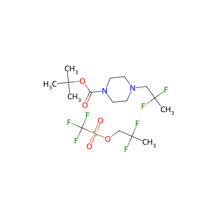 CC(F)(F)CN1CCN(C(=O)OC(C)(C)C)CC1.CC(F)(F)COS(=O)(=O)C(F)(F)F